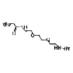 CC(C)NCCOCCOCCNC(=O)CC(C)(C)C